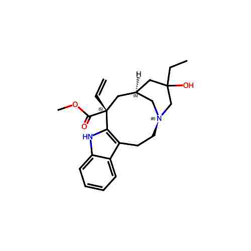 C=C[C@@]1(C(=O)OC)C[C@@H]2C[N@](CCc3c1[nH]c1ccccc31)CC(O)(CC)C2